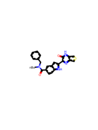 CCCCN(Cc1ccccc1)C(=O)c1ccc2[nH]c(-c3nc4cscc4[nH]c3=O)cc2c1